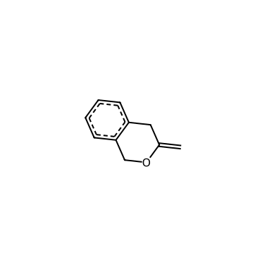 C=C1Cc2ccccc2CO1